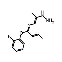 C/C=C/C(=N\C=C(/C)NN)Oc1ccccc1F